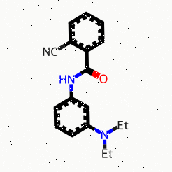 CCN(CC)c1cccc(NC(=O)c2ccccc2C#N)c1